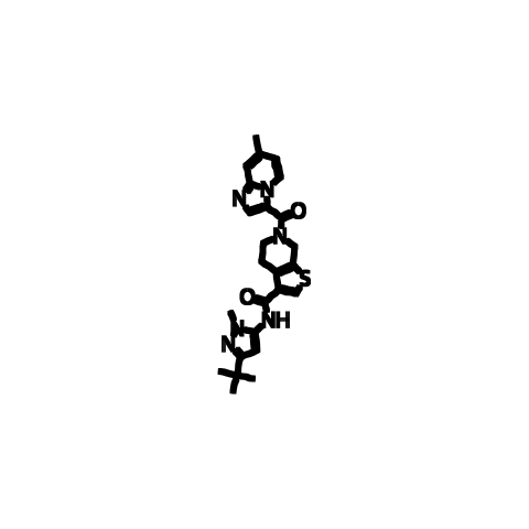 Cc1ccn2c(C(=O)N3CCc4c(C(=O)Nc5cc(C(C)(C)C)nn5C)csc4C3)cnc2c1